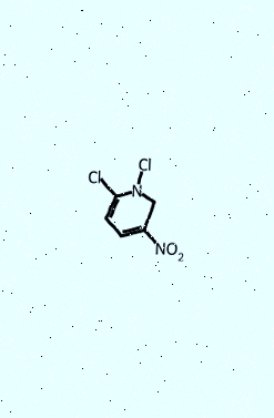 O=[N+]([O-])C1=CC=C(Cl)N(Cl)C1